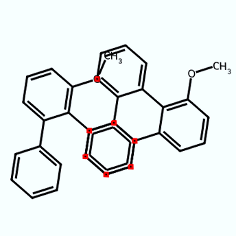 COc1cccc(-c2ccccc2)c1-c1ccccc1-c1ccccc1-c1c(OC)cccc1-c1ccccc1